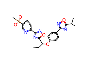 CCC(Oc1ccc(-c2noc(C(C)C)n2)cc1)c1nc(-c2ccc(S(C)(=O)=O)cn2)no1